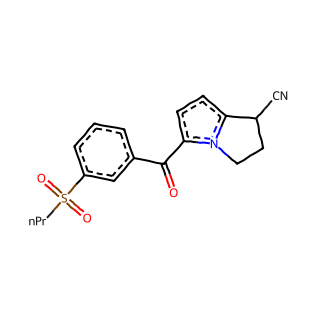 CCCS(=O)(=O)c1cccc(C(=O)c2ccc3n2CCC3C#N)c1